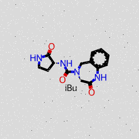 CC[C@H](C)[C@H]1C(=O)Nc2ccccc2CN1C(=O)N[C@@H]1CCNC1=O